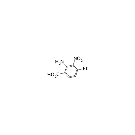 CCc1ccc(C(=O)O)c(N)c1[N+](=O)[O-]